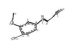 COc1cc(NCC#N)ccc1Cl